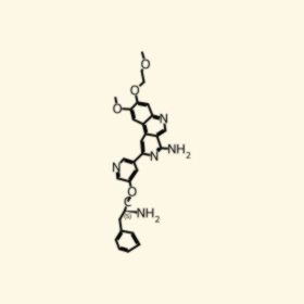 COCCOc1cc2ncc3c(N)nc(-c4cncc(OC[C@@H](N)Cc5ccccc5)c4)cc3c2cc1OC